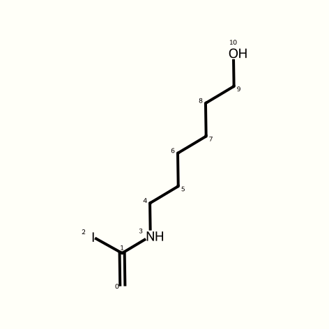 C=C(I)NCCCCCCO